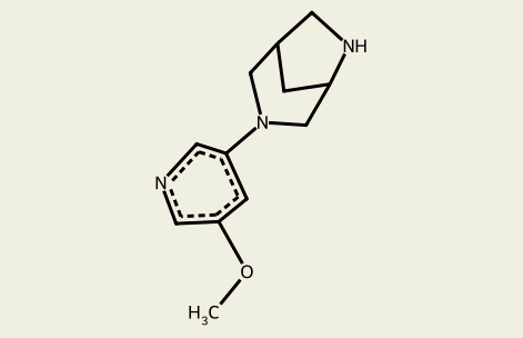 COc1cncc(N2CC3CNC(C3)C2)c1